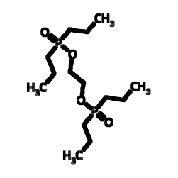 CCCP(=O)(CCC)OCCOP(=O)(CCC)CCC